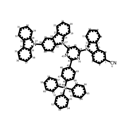 N#Cc1ccc2c(c1)c1ccccc1n2-c1cc(-n2c3ccccc3c3cc(-n4c5ccccc5c5ccccc54)ccc32)nc(-c2ccc([Si](c3ccccc3)(c3ccccc3)c3ccccc3)cc2)n1